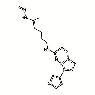 C=NN/C(C)=C/CCCNc1ccc2ncc(-c3ccsc3)n2n1